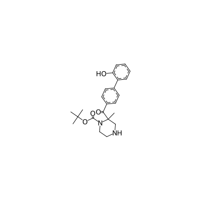 CC(C)(C)OC(=O)N1CCNCC1(C)C(=O)c1ccc(-c2ccccc2O)cc1